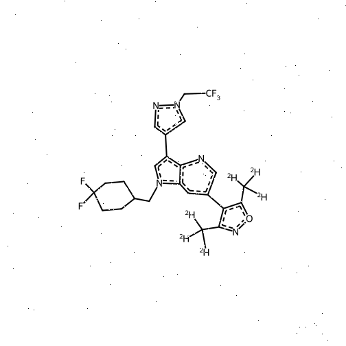 [2H]C([2H])([2H])c1noc(C([2H])([2H])[2H])c1-c1cnc2c(-c3cnn(CC(F)(F)F)c3)cn(CC3CCC(F)(F)CC3)c2c1